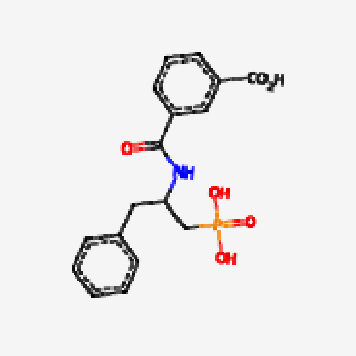 O=C(O)c1cccc(C(=O)NC(Cc2ccccc2)CP(=O)(O)O)c1